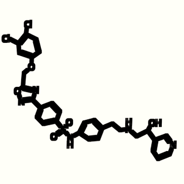 O=S(=O)(Nc1ccc(CCNCC(O)c2cccnc2)cc1)c1ccc(-c2noc(COc3ccc(Cl)c(Cl)c3)n2)cc1